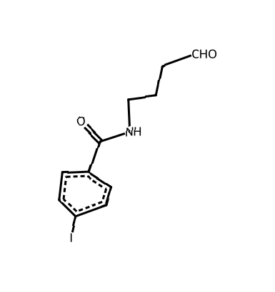 O=CCCCNC(=O)c1ccc(I)cc1